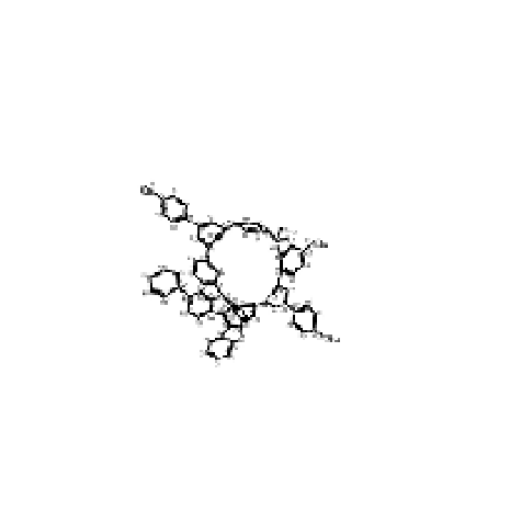 CC(C)(C)c1ccc(-c2cc3cc(c2)-c2cccc(c2)C2(c4cccc(c4)-c4cc(-c5ccc(C(C)(C)C)cc5)cc(c4)-c4ccc(C(C)(C)C)cc4C(C)(C)c4ccc-3cc4)c3cc(-c4ccccc4)ccc3-c3c2ccc2oc4ccccc4c32)cc1